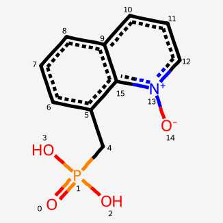 O=P(O)(O)Cc1cccc2ccc[n+]([O-])c12